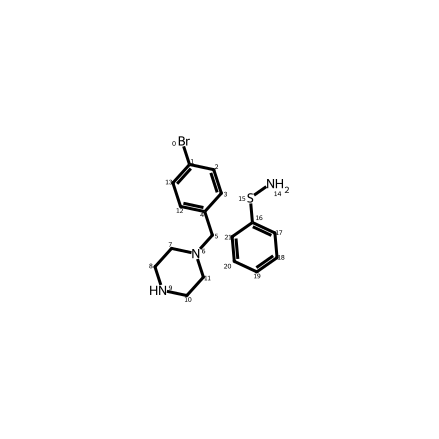 Brc1ccc(CN2CCNCC2)cc1.NSc1ccccc1